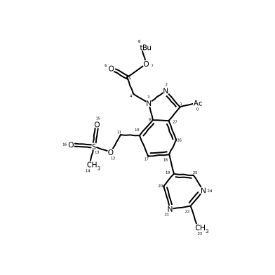 CC(=O)c1nn(CC(=O)OC(C)(C)C)c2c(COS(C)(=O)=O)cc(-c3cnc(C)nc3)cc12